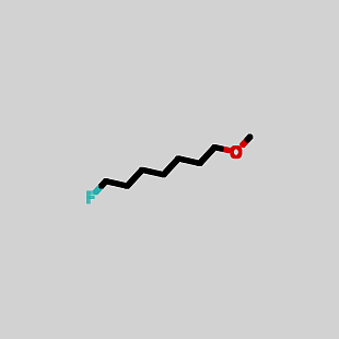 COCCCCCCCF